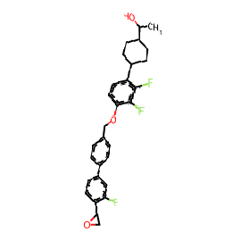 CC(O)C1CCC(c2ccc(OCc3ccc(-c4ccc(C5CO5)c(F)c4)cc3)c(F)c2F)CC1